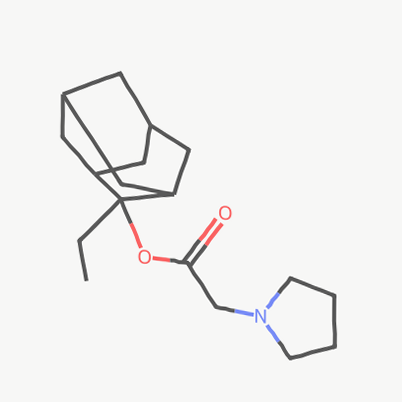 CCC1(OC(=O)CN2CCCC2)C2CC3CC(C2)CC1C3